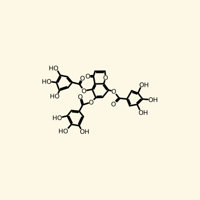 O=C(Oc1cc(OC(=O)c2cc(O)c(O)c(O)c2)c2occc(=O)c2c1OC(=O)c1cc(O)c(O)c(O)c1)c1cc(O)c(O)c(O)c1